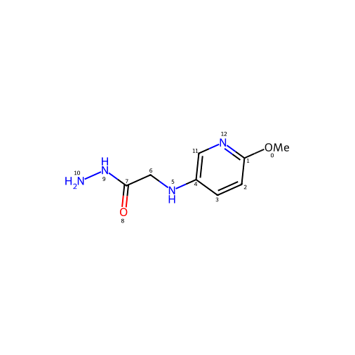 COc1ccc(NCC(=O)NN)cn1